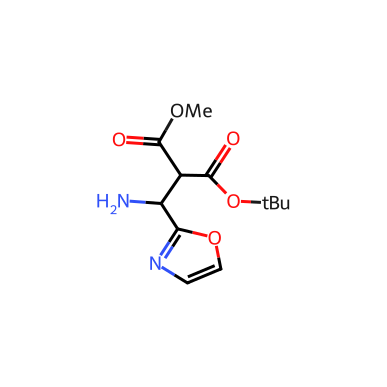 COC(=O)C(C(=O)OC(C)(C)C)C(N)c1ncco1